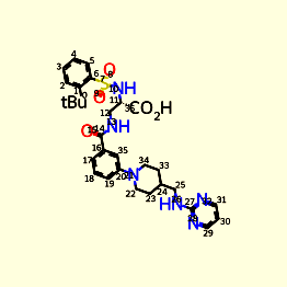 CC(C)(C)c1ccccc1S(=O)(=O)N[C@@H](CNC(=O)c1cccc(N2CCC(CNc3ncccn3)CC2)c1)C(=O)O